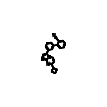 N#Cc1ccccc1-c1cccc(-c2cnc3nc(C4CCC4)ccn23)c1